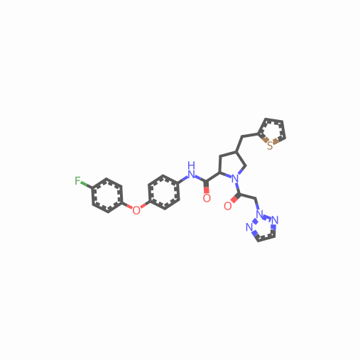 O=C(Nc1ccc(Oc2ccc(F)cc2)cc1)C1CC(Cc2cccs2)CN1C(=O)Cn1nccn1